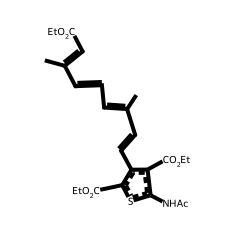 CCOC(=O)C=C(C)C=CC=C(C)C=Cc1c(C(=O)OCC)sc(NC(C)=O)c1C(=O)OCC